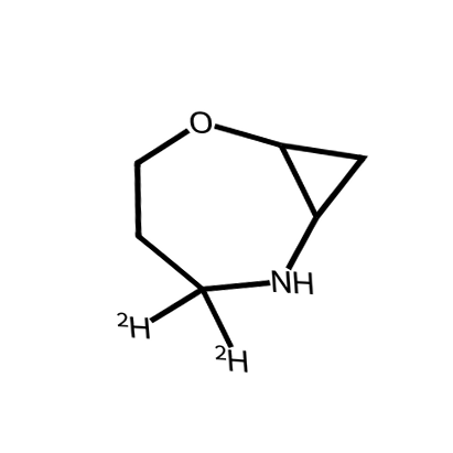 [2H]C1([2H])CCOC2CC2N1